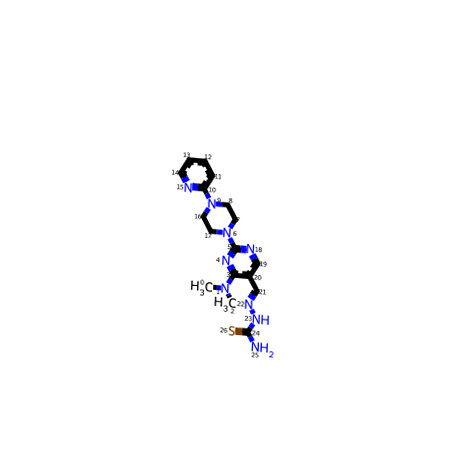 CN(C)c1nc(N2CCN(c3ccccn3)CC2)ncc1C=NNC(N)=S